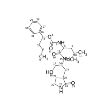 CCCC(OC(=O)NC(CC(C)C)C(=O)NC(CO)CC1CCNC1=O)c1ccccc1